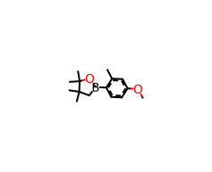 COc1ccc(B2CC(C)(C)C(C)(C)O2)c(C)c1